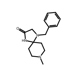 CN1CCC2(CC1)NC(=O)CN2Cc1ccccc1